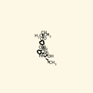 CSCC[C@H](NC(=O)c1ccccc1NS(=O)(=O)c1ccc(OC(=O)C(C)(C)C)cc1)C(=O)O